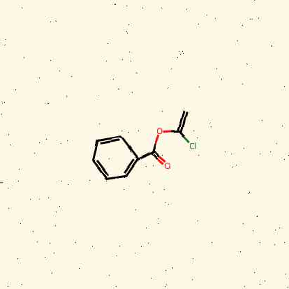 C=C(Cl)OC(=O)c1ccccc1